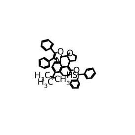 CC(C)(C)c1cccc2c1CCC(O[SiH](c1ccccc1)c1ccccc1)=C2C1CCOC1c1nc(-c2ccccc2)c(-c2ccccc2)o1